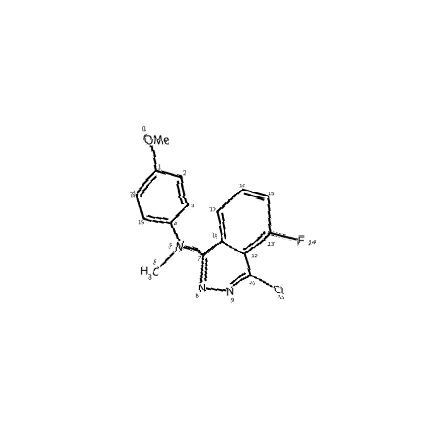 COc1ccc(N(C)c2nnc(Cl)c3c(F)cccc23)cc1